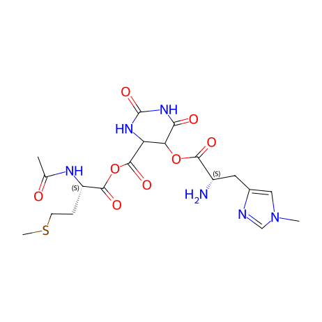 CSCC[C@H](NC(C)=O)C(=O)OC(=O)C1NC(=O)NC(=O)C1OC(=O)[C@@H](N)Cc1cn(C)cn1